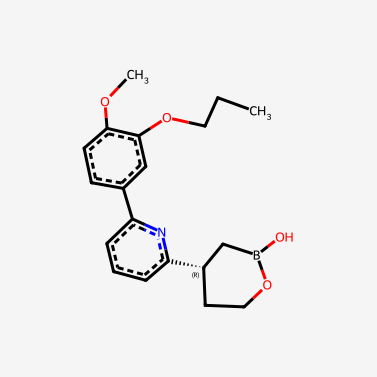 CCCOc1cc(-c2cccc([C@H]3CCOB(O)C3)n2)ccc1OC